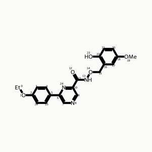 CCOc1ccc(-c2cncc(C(=O)NOCc3cc(OC)ccc3O)n2)cc1